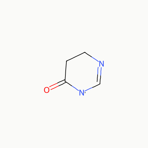 O=C1CCN=C[N]1